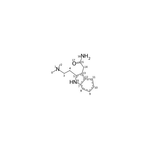 CN(C)CCc1[nH]c2ccccc2c1CC(N)=O